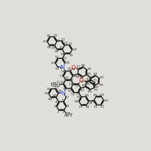 CC(C)c1ccc2c(c1)CN(c1c(C(C)(C)C)c3cc(N4C=C(c5cccc6cc7ccccc7cc56)C=CC4)c4oc5ccc(-c6ccccc6)cc5c4c3c3c1cc(-c1cccc(-c4ccccc4)c1)c1c4ccccc4oc13)c1ccccc1-2